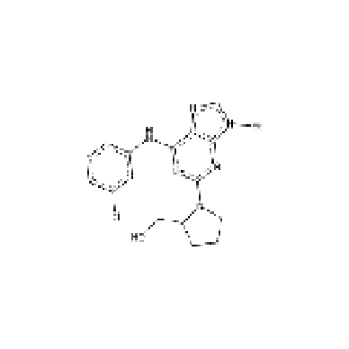 CCn1cnc2c(Nc3cccc(Cl)c3)nc(N3CCCC3CO)nc21